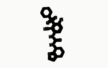 O=C(Nc1ccc(Cl)c(S(=O)(=O)C2CCCCC2)c1O)NC1CCCc2ccoc21